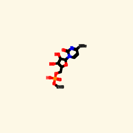 CNc1ccn(C2OC(COP(=O)(O)OC=O)C(O)C2O)c(=O)n1